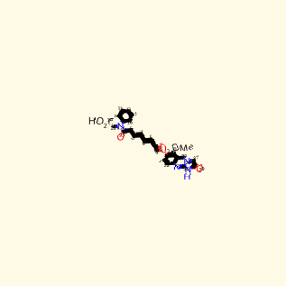 COc1c(OCCCCCCC(=O)N(CC(=O)O)C2CCCCC2)ccc2c1CN1CC(=O)NC1=N2